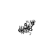 C[C@@H](NC(=O)c1c(N)nn2cccnc12)c1nc2cccc(C#Cc3ccc(=O)n(C)c3)c2c(=O)n1-c1ccccc1